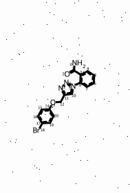 NC(=O)c1ccccc1-n1cc(COc2ccc(Br)cc2)nn1